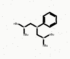 CCCCP(CCCC)CN(CP(CCCC)CCCC)c1ccccc1